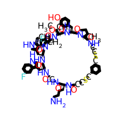 C=C(F)/C=c1/c(C[C@@H]2NC(=O)[C@H](Cc3c[nH]c4ccc(F)cc34)NC(=O)CNC(=O)[C@H](CCCCN)NC(=O)CCSCc3cccc(c3)CSCCNC(=O)[C@]3(C)CCCN3C(=O)[C@H](Cc3ccc(O)cc3)NC(=O)[C@H]([C@H](C)OC)NC(=O)[C@@H]3CCCN3C2=O)c[nH]/c1=C/C